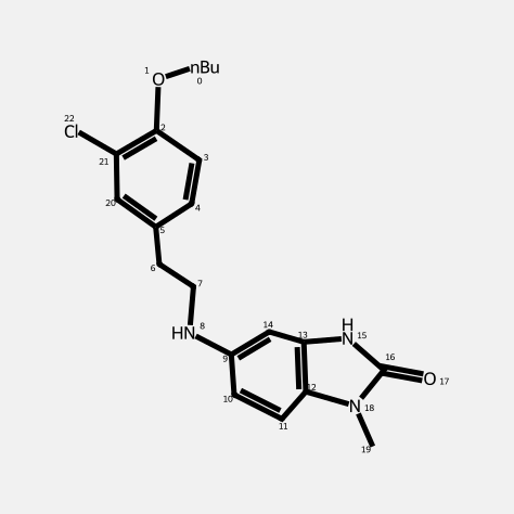 CCCCOc1ccc(CCNc2ccc3c(c2)[nH]c(=O)n3C)cc1Cl